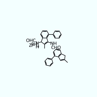 B.CC1=C(NC=O)c2c(-c3ccccc3)cccc2C1NC=O.CC1=Cc2c(cccc2-c2ccccc2)C1.[Zr]